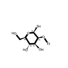 CCO[C@H]1[C@@H](O)[C@H](O)[C@@H](CO)O[C@H]1S